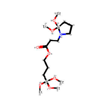 CCO[Si](CCCOC(=O)CCN1CCC[Si]1(OCC)OCC)(OCC)OCC